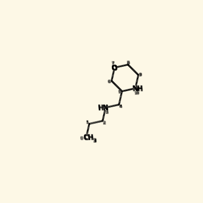 CCCNCC1COCCN1